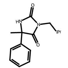 CC(C)CN1C(=O)NC(C)(c2ccccc2)C1=O